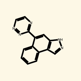 [c]1n[nH]c2cc(-c3nccnn3)c3ccccc3c12